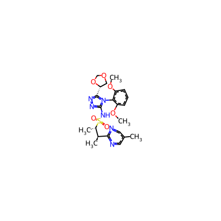 COc1cccc(OC)c1-n1c(NS(=O)(=O)[C@@H](C)[C@H](C)c2ncc(C)cn2)nnc1[C@H]1COCO1